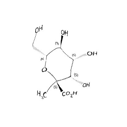 C[C@]1(C(=O)O)O[C@H](CO)[C@@H](O)[C@H](O)[C@@H]1O